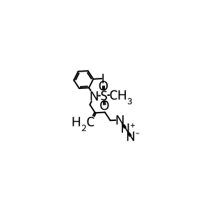 C=C(CCN=[N+]=[N-])CN(c1ccccc1I)S(C)(=O)=O